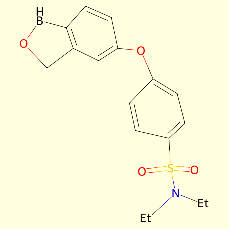 CCN(CC)S(=O)(=O)c1ccc(Oc2ccc3c(c2)COB3)cc1